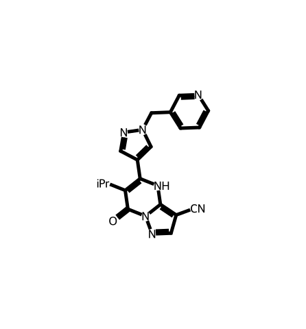 CC(C)c1c(-c2cnn(Cc3cccnc3)c2)[nH]c2c(C#N)cnn2c1=O